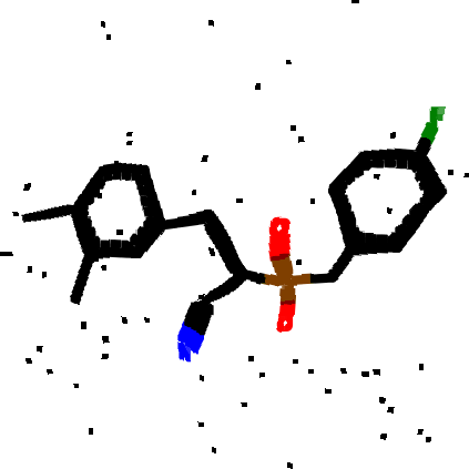 Cc1ccc(/C=C(\C#N)S(=O)(=O)Cc2ccc(F)cc2)cc1C